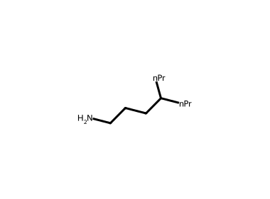 CCCC(CCC)CCCN